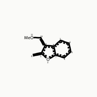 C=c1oc2ccccc2/c1=C/OC